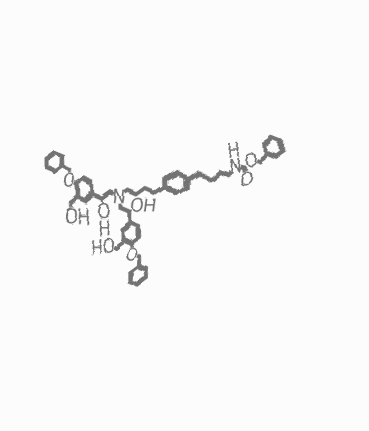 O=C(NCCCCc1ccc(CCCCN(C[C@H](O)c2ccc(OCc3ccccc3)c(CO)c2)C[C@H](O)c2ccc(OCc3ccccc3)c(CO)c2)cc1)OCc1ccccc1